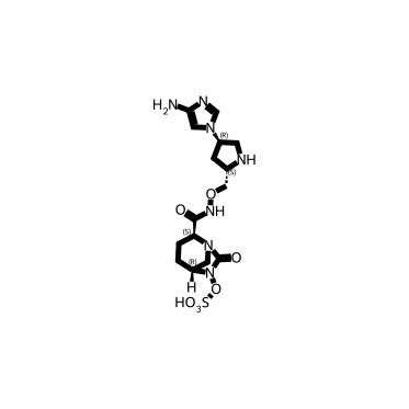 Nc1cn([C@H]2CN[C@H](CONC(=O)[C@@H]3CC[C@@H]4CN3C(=O)N4OS(=O)(=O)O)C2)cn1